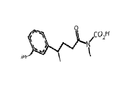 CC(C)c1cccc(C(C)CCC(=O)N(C)C(=O)O)c1